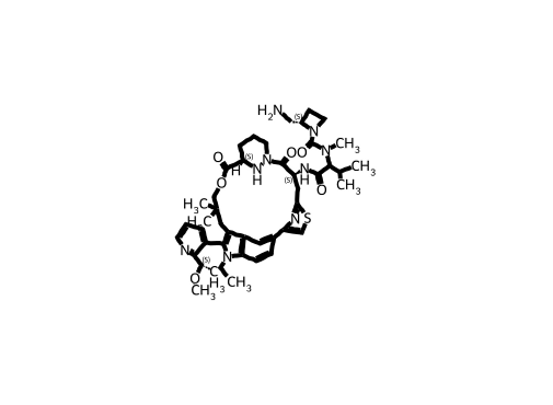 CCn1c(-c2cccnc2[C@H](C)OC)c2c3cc(ccc31)-c1csc(n1)C[C@H](NC(=O)C(C(C)C)N(C)C(=O)N1CC[C@H]1CN)C(=O)N1CCC[C@H](N1)C(=O)OCC(C)(C)C2